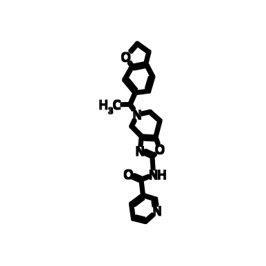 CC(c1ccc2c(c1)OCC2)N1CCc2oc(NC(=O)c3cccnc3)nc2C1